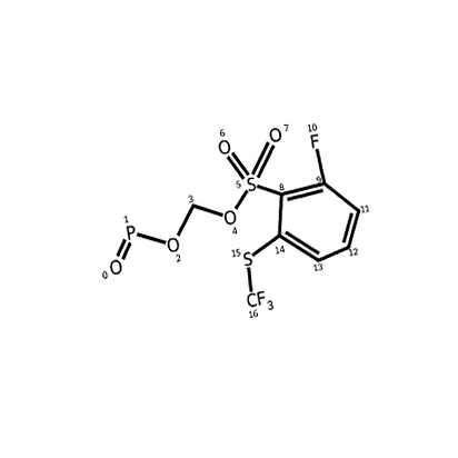 O=POCOS(=O)(=O)c1c(F)cccc1SC(F)(F)F